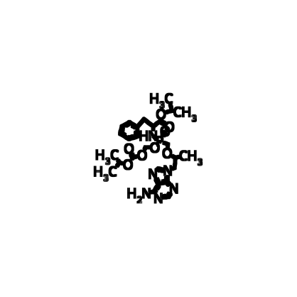 CC(C)OC(=O)OCOP(=O)(COC(C)Cn1cnc2c(N)ncnc21)NC(Cc1ccccc1)C(=O)OC(C)C